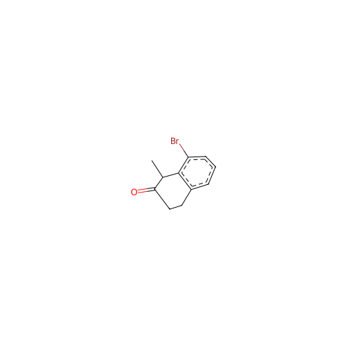 CC1C(=O)CCc2cccc(Br)c21